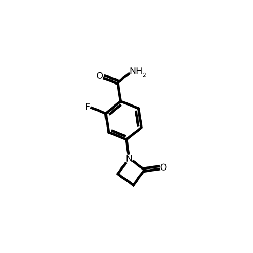 NC(=O)c1ccc(N2CCC2=O)cc1F